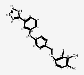 CC(=O)c1ccc(OCc2ccc(Oc3cccc(-c4nnn[nH]4)c3)cc2)c(C)c1O